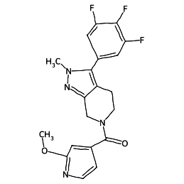 COc1cc(C(=O)N2CCc3c(nn(C)c3-c3cc(F)c(F)c(F)c3)C2)ccn1